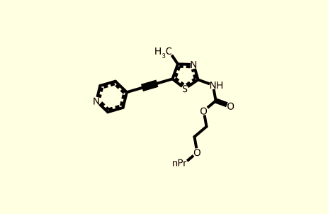 CCCOCCOC(=O)Nc1nc(C)c(C#Cc2ccncc2)s1